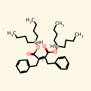 CCC[CH2][SnH]([CH2]CCC)[O]C(=O)/C(Cc1ccccc1)=C(/Cc1ccccc1)C(=O)[O][SnH]([CH2]CCC)[CH2]CCC